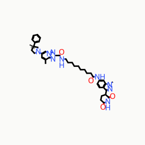 Cc1cc(N2CC[C@](C)(c3ccccc3)C2)cn2nc(C(=O)NCCCCCCCCCC(=O)Nc3ccc4c(C5CCC(=O)NC5=O)nn(C)c4c3)nc12